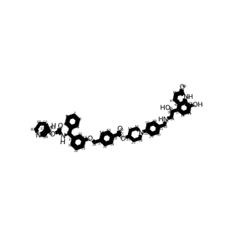 O=C(N[C@@H](c1ccccc1)c1cccc(OCc2ccc(C(=O)OC3CCN(c4ccc(CNC[C@H](O)c5ccc(O)c6[nH]c(=O)ccc56)cc4)CC3)cc2)c1)O[C@H]1CN2CCC1CC2